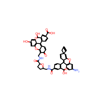 Nc1ccc2c(c1)OC1=CC3(C#CC3)C=CC1=C2c1ccc(C(=O)NCC2CCC(C(=O)NCc3c4oc5cc(O)ccc5c(-c5ccc(C(=O)O)cc5C(=O)O)c-4ccc3=O)O2)cc1C(=O)O